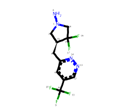 NN1C[C@H](Cc2cc(C(F)(F)F)cnn2)C(F)(F)C1